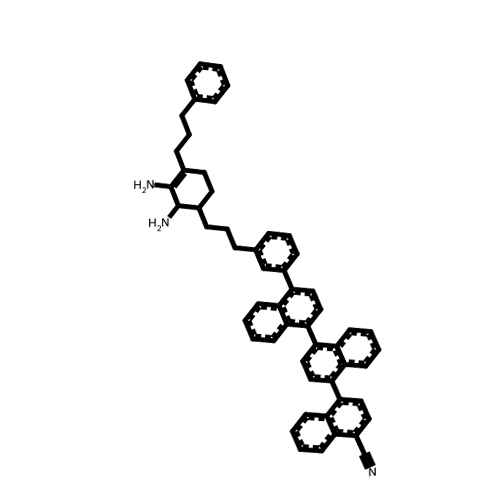 N#Cc1ccc(-c2ccc(-c3ccc(-c4cccc(CCCC5CCC(CCCc6ccccc6)=C(N)C5N)c4)c4ccccc34)c3ccccc23)c2ccccc12